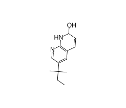 CCC(C)(C)c1cnc2c(c1)C=CC(O)N2